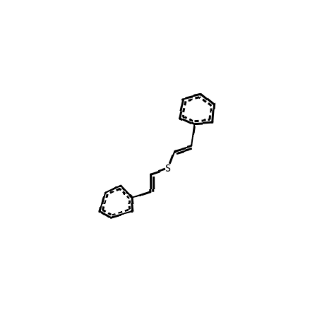 C(=C\c1ccccc1)/S/C=C/c1ccccc1